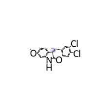 COc1ccc2c(c1)NC(=O)/C2=C\c1ccc(Cl)c(Cl)c1